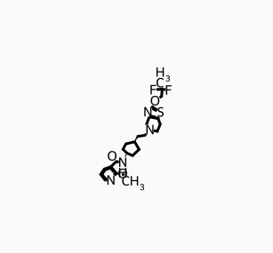 COc1ncccc1C(=O)N[C@H]1CC[C@H](CCN2CCc3sc(OCC(C)(F)F)nc3C2)CC1